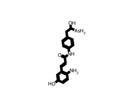 Nc1ccc(O)cc1C=CC(=O)Nc1ccc(CC(O)[AsH2])cc1